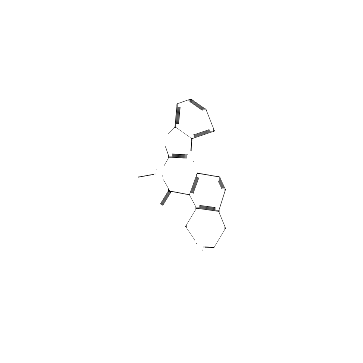 CN(C(=O)c1cccc2c1CNCC2)c1nc2ccccc2s1